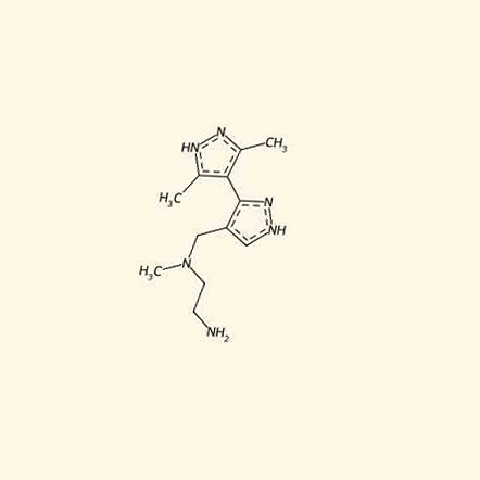 Cc1n[nH]c(C)c1-c1n[nH]cc1CN(C)CCN